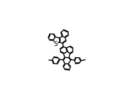 Cc1ccc(-c2c3c(c(-c4ccc(C)cc4)c4ccccc24)-c2ccc(-c4cc5ccccc5c5c4sc4ccccc45)c4cccc-3c24)cc1